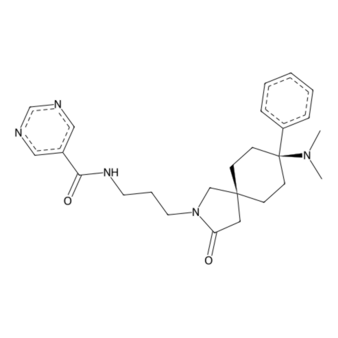 CN(C)[C@]1(c2ccccc2)CC[C@@]2(CC1)CC(=O)N(CCCNC(=O)c1cncnc1)C2